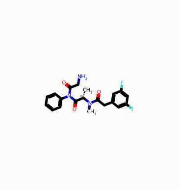 C[C@@H](C(=O)N(C(=O)CN)c1ccccc1)N(C)C(=O)Cc1cc(F)cc(F)c1